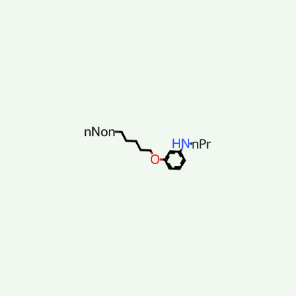 [CH2]CCNc1cccc(OCCCCCCCCCCCCCC)c1